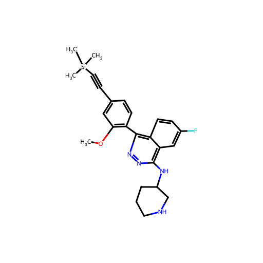 COc1cc(C#C[Si](C)(C)C)ccc1-c1nnc(NC2CCCNC2)c2cc(F)ccc12